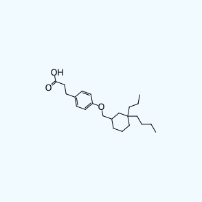 CCCCC1(CCC)CCCC(COc2ccc(CCC(=O)O)cc2)C1